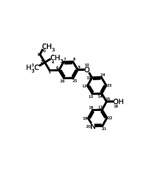 CCC(C)(C)Cc1ccc(Oc2ccc(C(O)c3ccncc3)cc2)cc1